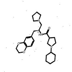 O=C(N[C@@H](Cc1ccc2c(c1)OCCO2)CN1CCCC1)C1CCN(C2CCCCC2)C1